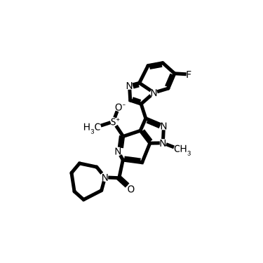 Cn1nc(-c2cnc3ccc(F)cn23)c2c([S+](C)[O-])nc(C(=O)N3CCCCCC3)cc21